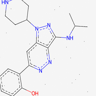 CC(C)Nc1nn(C2CCNCC2)c2cc(-c3ccccc3O)nnc12